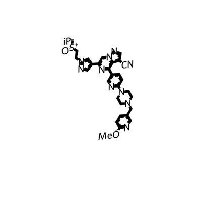 COc1ccc(CN2CCN(c3ccc(-c4nc(-c5cnn(CC[S+]([O-])C(C)C)c5)cn5ncc(C#N)c45)cn3)CC2)cn1